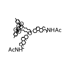 CC(=O)N[C@@H](C)[C@H]1CCC2C3CC=C4C[C@@H](C(CCCCCOS(=O)(=O)c5ccc(C)cc5)OC(CCCCCOS(=O)(=O)c5ccc(C)cc5)[C@H]5CC[C@@]6(C)C(=CCC7C6CC[C@@]6(C)C7CC[C@@H]6[C@H](C)NC(C)=O)C5)CC[C@]4(C)C3CC[C@@]21C